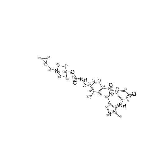 Cn1ncc2c1Nc1cc(Cl)ccc1N(C(=O)c1ccc(CNC(=O)OC3CCN(CC4CC4)CC3)c(F)c1)C2